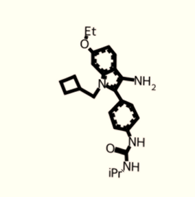 CCOc1ccc2c(N)c(-c3ccc(NC(=O)NC(C)C)cc3)n(CC3CCC3)c2c1